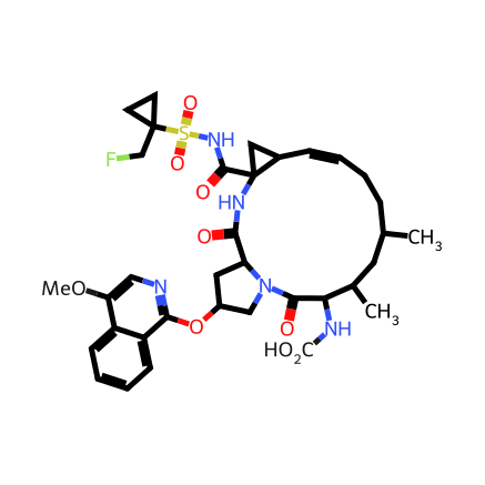 COc1cnc(OC2CC3C(=O)NC4(C(=O)NS(=O)(=O)C5(CF)CC5)CC4C=CCCC(C)CC(C)C(NC(=O)O)C(=O)N3C2)c2ccccc12